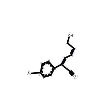 C#C/C(=C\C=C/CO)c1ccc(C(C)=O)cc1